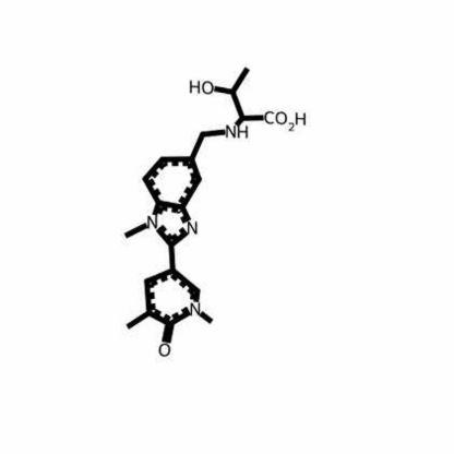 Cc1cc(-c2nc3cc(CNC(C(=O)O)C(C)O)ccc3n2C)cn(C)c1=O